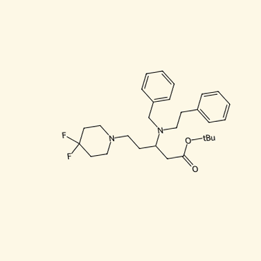 CC(C)(C)OC(=O)CC(CCN1CCC(F)(F)CC1)N(CCc1ccccc1)Cc1ccccc1